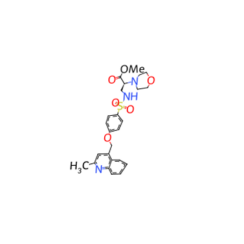 COC(=O)[C@H](CNS(=O)(=O)c1ccc(OCc2cc(C)nc3ccccc23)cc1)N1CCOCC1